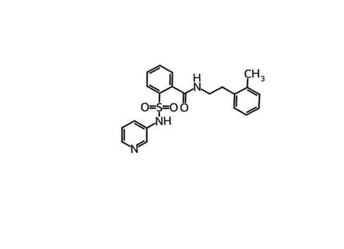 Cc1ccccc1CCNC(=O)c1ccccc1S(=O)(=O)Nc1cccnc1